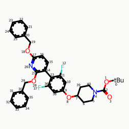 CC(C)(C)OC(=O)N1CCC(Oc2cc(F)c(-c3ccc(OCc4ccccc4)nc3OCc3ccccc3)c(F)c2)CC1